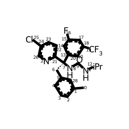 Cc1cccc(C[C@@](NC(=O)NC(C)C)(c2cc(F)cc(C(F)(F)F)c2)c2ccc(Cl)cn2)c1